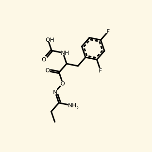 CCC(N)=NOC(=O)C(Cc1ccc(F)cc1F)NC(=O)O